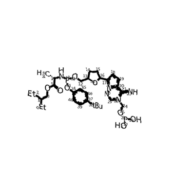 CCC(CC)COC(=O)[C@H](C)NP(OCC1CCC(c2ccc3c(=N)n(COP(O)O)cnn23)O1)Oc1ccc(C(C)(C)C)cc1